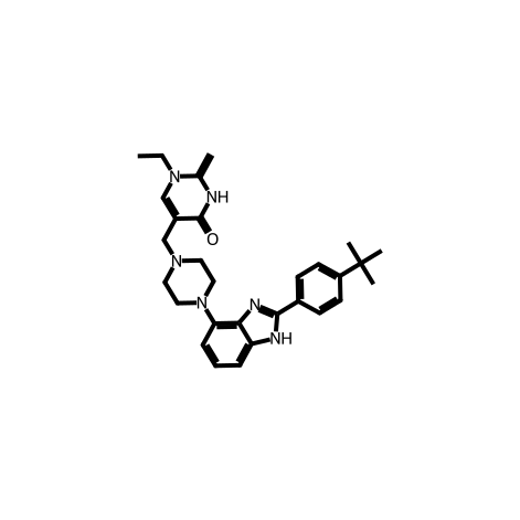 C=C1NC(=O)C(CN2CCN(c3cccc4[nH]c(-c5ccc(C(C)(C)C)cc5)nc34)CC2)=CN1CC